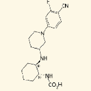 N#Cc1ccc(N2CCCC(N[C@@H]3CCCC[C@H]3NC(=O)O)C2)cc1F